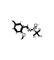 COc1ccc(C)cc1/C=N/[S@@+]([O-])C(C)(C)C